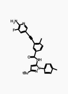 Cc1ccc(-n2nc(C(C)(C)C)cc2NC(=O)c2ccc(C)c(C#Cc3cnc(N)c(F)c3)c2)cc1